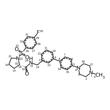 CN1CCN(c2ccc(-c3cccc(CNC(=O)[C@@H]4CCCN4S(=O)(=O)c4ccc(F)cc4)c3)cc2)CC1